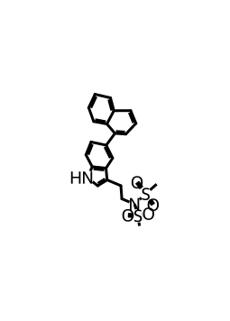 CS(=O)(=O)N(CCc1c[nH]c2ccc(-c3cccc4ccccc34)cc12)S(C)(=O)=O